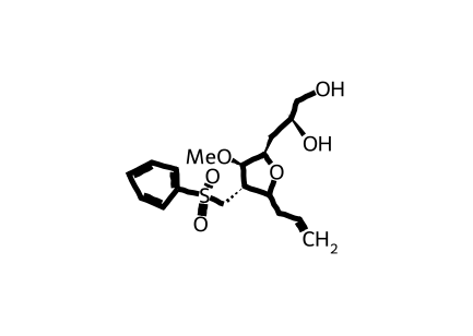 C=CCC1O[C@H](C[C@H](O)CO)[C@H](OC)[C@H]1CS(=O)(=O)c1ccccc1